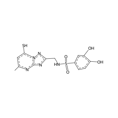 Cc1cc(S)n2nc(CNS(=O)(=O)c3ccc(O)c(O)c3)nc2n1